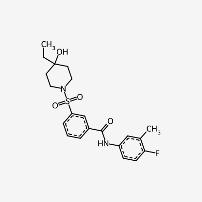 CCC1(O)CCN(S(=O)(=O)c2cccc(C(=O)Nc3ccc(F)c(C)c3)c2)CC1